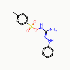 Cc1ccc(S(=O)(=O)ONC(N)=NNc2ccccc2)cc1